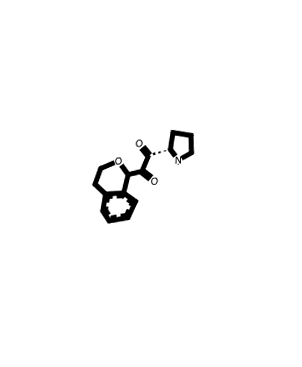 O=C(C(=O)[C@@H]1CCC[N]1)C1OCCc2ccccc21